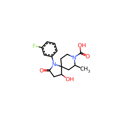 CC1CC2(CCN1C(=O)O)C(O)CC(=O)N2c1cccc(F)c1